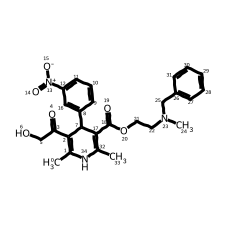 CC1=C(C(=O)CO)C(c2cccc([N+](=O)[O-])c2)C(C(=O)OCCN(C)Cc2ccccc2)=C(C)N1